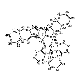 c1ccc([Si](c2ccccc2)(c2ccccc2)c2cc3c4cc5ccccc5cc4n4c3c(c2)n2c3cc5ccccc5cc3nc24)cc1